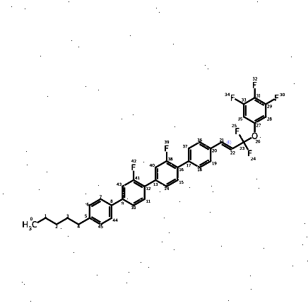 CCCCCc1ccc(-c2ccc(-c3ccc(-c4ccc(/C=C/C(F)(F)Oc5cc(F)c(F)c(F)c5)cc4)c(F)c3)c(F)c2)cc1